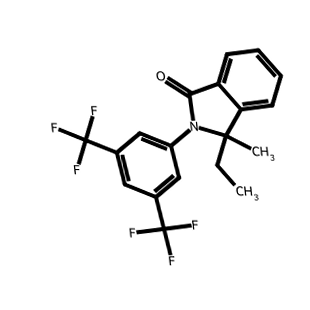 CCC1(C)c2ccccc2C(=O)N1c1cc(C(F)(F)F)cc(C(F)(F)F)c1